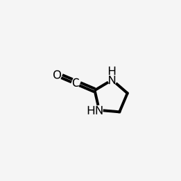 O=C=C1NCCN1